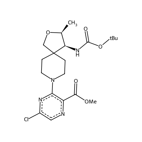 COC(=O)c1ncc(Cl)nc1N1CCC2(CC1)CO[C@@H](C)[C@H]2NC(=O)OC(C)(C)C